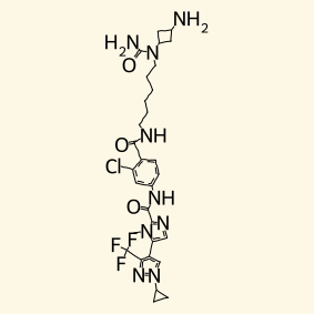 Cn1c(-c2cn(C3CC3)nc2C(F)(F)F)cnc1C(=O)Nc1ccc(C(=O)NCCCCCCN(C(N)=O)C2CC(N)C2)c(Cl)c1